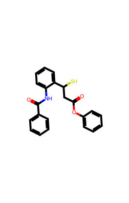 O=C(CC(S)c1ccccc1NC(=O)c1ccccc1)Oc1ccccc1